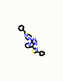 c1ccc(CCN2CCN(c3ncnc4c(-c5nc(-c6ccccc6)cs5)c5n(c34)CCCC5)CC2)cc1